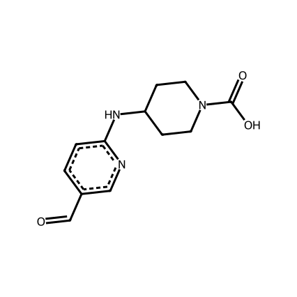 O=Cc1ccc(NC2CCN(C(=O)O)CC2)nc1